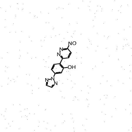 O=Nc1ccc(-c2ccc(-n3nccn3)cc2O)nn1